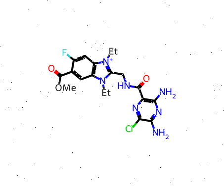 CCn1c(CNC(=O)c2nc(Cl)c(N)nc2N)[n+](CC)c2cc(F)c(C(=O)OC)cc21